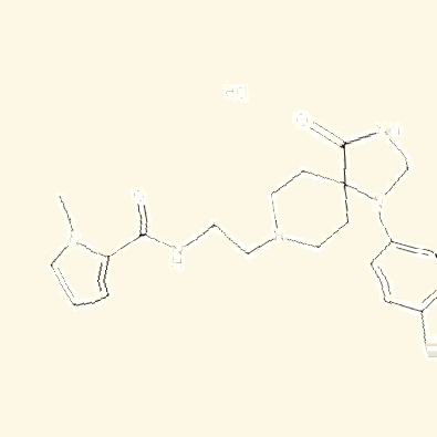 Cl.Cn1cccc1C(=O)NCCN1CCC2(CC1)C(=O)NCN2c1ccc(F)cc1